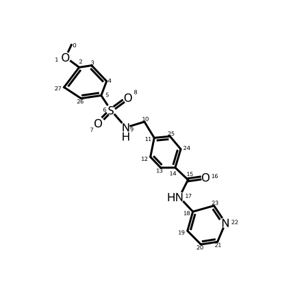 COc1ccc(S(=O)(=O)NCc2ccc(C(=O)Nc3cccnc3)cc2)cc1